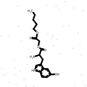 CCCCCOC(=O)COC(=O)C(N)Cc1c[nH]c2ccc(O)cc12